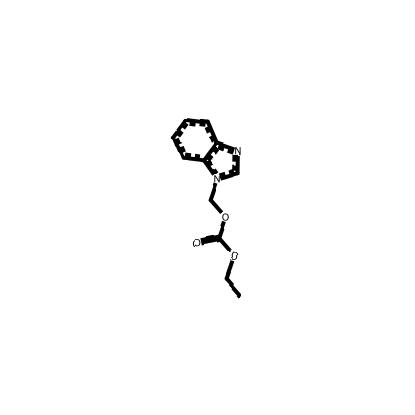 CCOC(=O)OCn1cnc2ccccc21